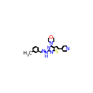 Cc1cccc(/C=N/Nc2nc(N3CCOCC3)c3cc(-c4ccncc4)sc3n2)c1